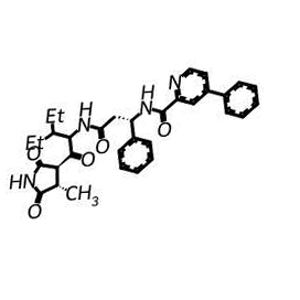 CCC(CC)C(NC(=O)C[C@H](NC(=O)c1cc(-c2ccccc2)ccn1)c1ccccc1)C(=O)[C@@H]1C(=O)NC(=O)[C@H]1C